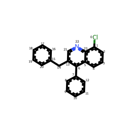 Clc1cccc2c(-c3[c]cccc3)c(Cc3ccccc3)cnc12